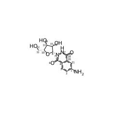 Nc1ccc2c(=O)n([C@@H]3O[C@H](CO)[C@@H](O)[C@H]3O)[nH]c(=O)c2c1